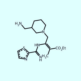 CCOC(=O)/C(C)=C(\CN1CCCC(CN)C1)NC(=N)c1nccs1